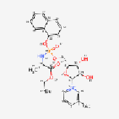 CC(=O)c1ccc[n+]([C@@H]2O[C@H](COP(=O)(N[C@@H](C)C(=O)OCC(C)(C)C)Oc3cccc4ccccc34)[C@H](O)C2O)c1